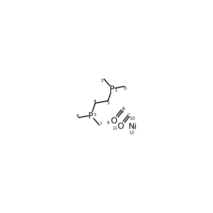 CP(C)CCP(C)C.[C]=O.[C]=O.[Ni]